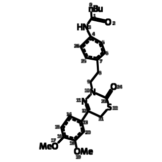 CCCCC(=O)Nc1ccc(CCN2N=C(c3ccc(OC)c(OC)c3)CSC2=O)cc1